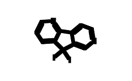 IC1(I)c2cnccc2-c2ncccc21